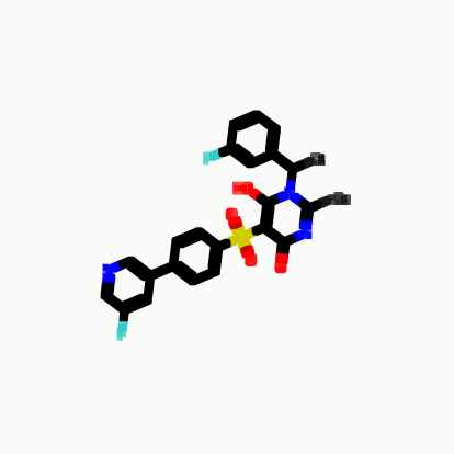 CCCCc1nc(=O)c(S(=O)(=O)c2ccc(-c3cncc(F)c3)cc2)c(O)n1C(CC)c1cccc(F)c1